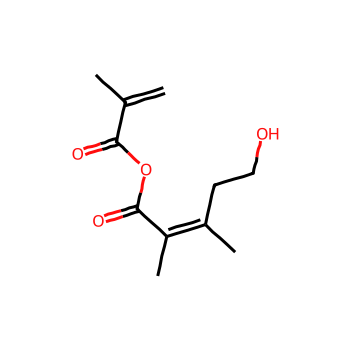 C=C(C)C(=O)OC(=O)C(C)=C(C)CCO